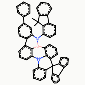 CC1(C)c2ccccc2-c2cccc(N3B4c5cccc6c5N(c5ccccc5C65c6ccccc6-c6ccccc65)c5cccc(c54)-c4ccc(-c5ccccc5)cc43)c21